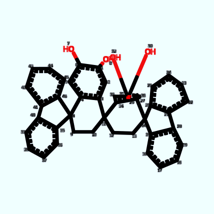 Oc1cc2c(cc1O)C1(CCC23CCC2(c4ccccc4-c4ccccc42)c2cc(O)c(O)cc23)c2ccccc2-c2ccccc21